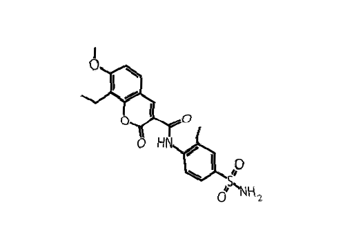 CCc1c(OC)ccc2cc(C(=O)Nc3ccc(S(N)(=O)=O)cc3C)c(=O)oc12